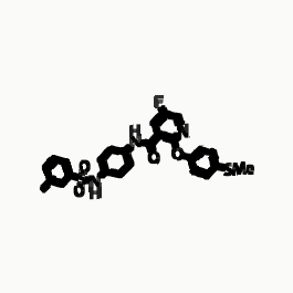 CSc1ccc(Oc2ncc(F)cc2C(=O)NC2CCC(NS(=O)(=O)c3cccc(C)c3)CC2)cc1